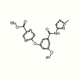 CC(C)Oc1cc(Oc2cnc(C(=O)OC(C)(C)C)cn2)cc(C(=O)Nc2ccn(C)n2)c1